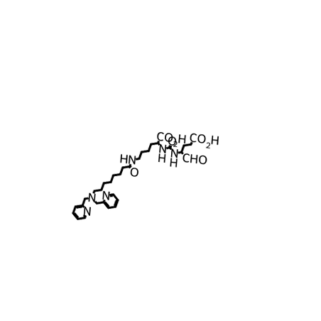 O=CC(CCC(=O)O)NC(=O)NC(CCCCNC(=O)CCCCCCCN(Cc1ccccn1)Cc1ccccn1)C(=O)O